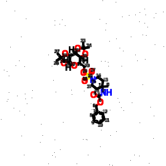 CC1(NC(=O)OCc2ccccc2)CCN(S(=O)(=O)OC[C@H]2O[C@@H]3OC(C)(C)O[C@@H]3[C@H]3OC(C)(C)O[C@H]32)CC1